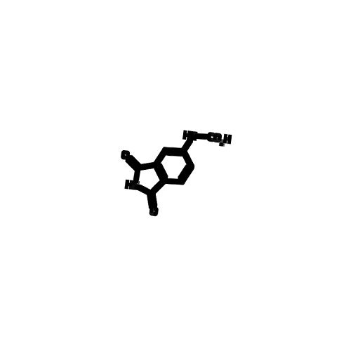 O=C(O)Nc1ccc2c(c1)C(=O)NC2=O